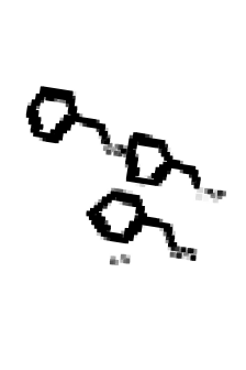 O=C([O-])Cc1ccccc1.O=C([O-])Cc1ccccc1.O=C([O-])Cc1ccccc1.[Al+3]